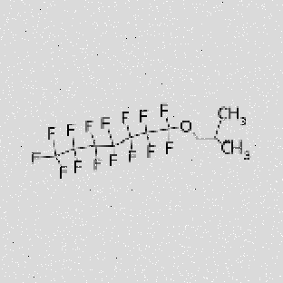 CC(C)COC(F)(F)C(F)(F)C(F)(F)C(F)(F)C(F)(F)C(F)(F)C(F)(F)F